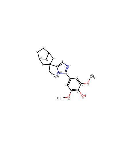 CCC1(c2cnc(-c3cc(OC)c(O)c(OC)c3)[nH]2)CC2CCC(C2)C1